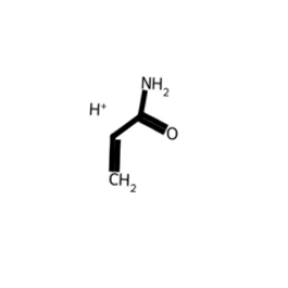 C=CC(N)=O.[H+]